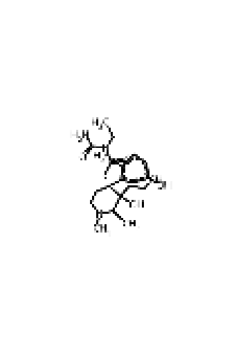 CCCC1(O)C(C)N(C)CC[C@@]1(CC(=O)N(CC)C(N)=O)c1cc(O)ccc1C